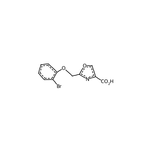 O=C(O)c1coc(COc2ccccc2Br)n1